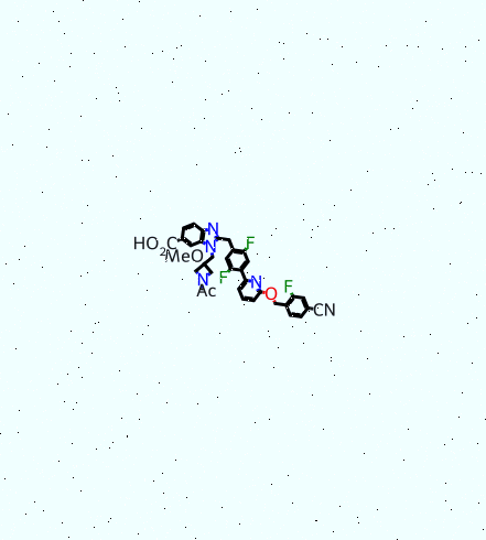 COC1(Cn2c(Cc3cc(F)c(-c4cccc(OCc5ccc(C#N)cc5F)n4)cc3F)nc3ccc(C(=O)O)cc32)CN(C(C)=O)C1